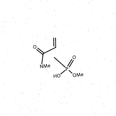 C=CC(=O)NC.COP(C)(=O)O